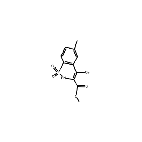 COC(=O)C1=C(O)c2cc(C)ccc2S(=O)(=O)N1